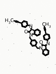 CC#Cc1ccc(/N=C2\C(=O)N(Cc3ccc(CN4C(=O)/C(=N\c5ccc(C#CC)cc5)c5ccccc54)cc3)c3ccccc32)cc1